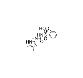 Cc1nc(NC(=O)NS(=O)(=O)c2ccccc2C(=O)O)[nH]c1C